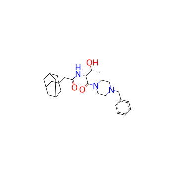 C[C@@H](O)[C@@H](NC(=O)CC12CC3CC(CC(C3)C1)C2)C(=O)N1CCN(Cc2ccccc2)CC1